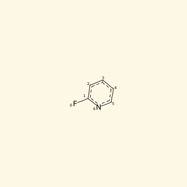 Fc1c[c]ccn1